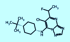 CC(F)c1nc2ncnn2c(N[C@H]2CC[C@@H](C(C)(C)C)CC2)c1Cl